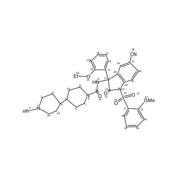 CCCN1CCC(C2CCN(C(=O)NC3(c4cccnc4OCC)C(=O)N(S(=O)(=O)c4ccccc4OC)c4ccc(C#N)cc43)CC2)CC1